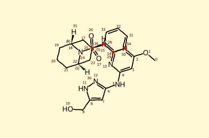 COc1cc(Nc2cc(CO)[nH]n2)nc(N[C@@H]2C[C@H]3CCC[C@@H](C2)N3S(=O)(=O)c2ccccc2)n1